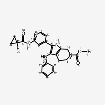 CC(C)OC(=O)N1CCc2c([nH]c(-c3ccnc(NC(=O)C4(F)CC4)c3)c2Nc2ccccc2)C1